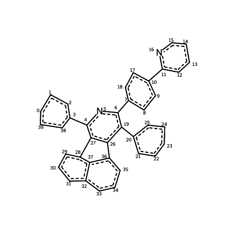 c1ccc(-c2nc(-c3ccc(-c4ccccn4)cc3)c(-c3ccccc3)c3c2-c2cccc4cccc-3c24)cc1